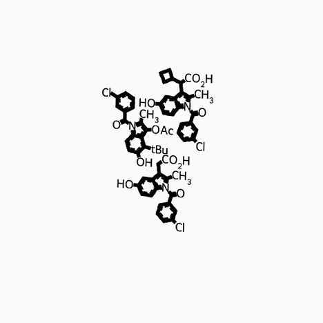 CC(=O)Oc1c(C)n(C(=O)c2cccc(Cl)c2)c2ccc(O)c(C(C)(C)C)c12.Cc1c(C(C(=O)O)C2CCC2)c2cc(O)ccc2n1C(=O)c1cccc(Cl)c1.Cc1c(CC(=O)O)c2cc(O)ccc2n1C(=O)c1cccc(Cl)c1